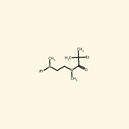 CCC(C)(C)C(=O)N(C)CCN(C)C(C)C